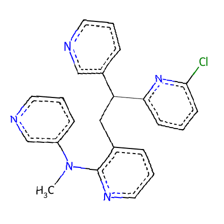 CN(c1cccnc1)c1ncccc1CC(c1cccnc1)c1cccc(Cl)n1